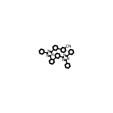 N#Cc1cccc(-c2cccc(-c3nc(-c4ccccc4)nc(-c4ccccc4-c4cccc(-c5nc(-c6ccccc6)nc(-c6ccccc6)n5)c4)n3)c2)c1